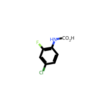 O=C(O)Nc1ccc(Cl)cc1F